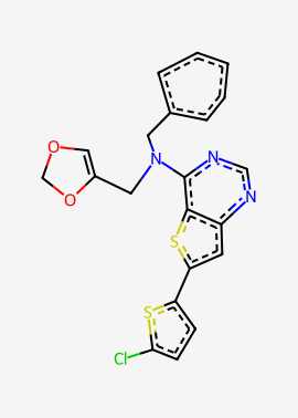 Clc1ccc(-c2cc3ncnc(N(CC4=COCO4)Cc4ccccc4)c3s2)s1